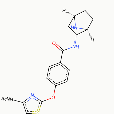 CC(=O)Nc1csc(Oc2ccc(C(=O)N[C@@H]3C[C@H]4CC[C@@H]3N4)cc2)n1